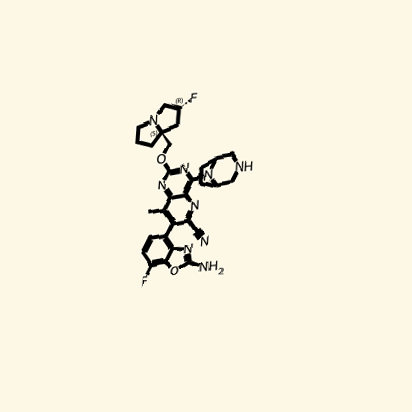 Cc1c(-c2ccc(F)c3oc(N)nc23)c(C#N)nc2c(N3C4CCC3CNC4)nc(OC[C@@]34CCCN3C[C@H](F)C4)nc12